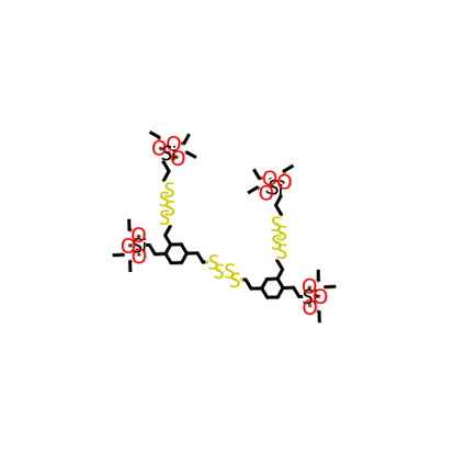 CCO[Si](CCCSSSSCCC1CC(CCSSSSCCC2CCC(CC[Si](OCC)(OCC)OCC)C(CCSSSSCCC[Si](OCC)(OCC)OCC)C2)CCC1CC[Si](OCC)(OCC)OCC)(OCC)OCC